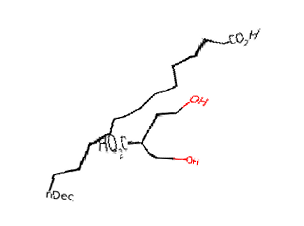 CCCCCCCCCCCCCCCCCCCCCC(=O)O.O=C(O)C(CO)CCO